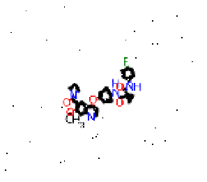 COc1cc2nccc(Oc3ccc(NC(=O)C4(C(=O)Nc5ccc(F)cc5)CC4)cc3)c2cc1C(=O)N1CCC1